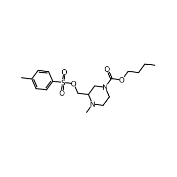 CCCCOC(=O)N1CCN(C)C(COS(=O)(=O)c2ccc(C)cc2)C1